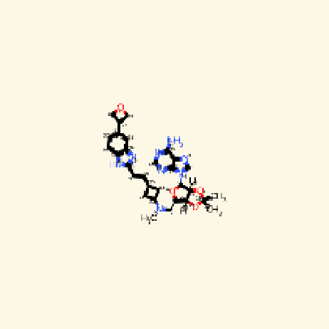 CN(C[C@H]1O[C@@H](n2cnc3c(N)ncnc32)[C@H]2OC(C)(C)O[C@@H]21)C1CC(CCc2nc3cc(C4COC4)ccc3[nH]2)C1